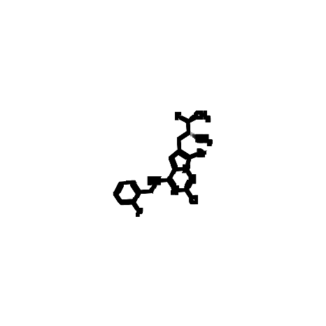 C[C@H](F)[C@H](N)Cc1cc2c(NCc3ccccc3F)nc(Cl)nn2c1Br